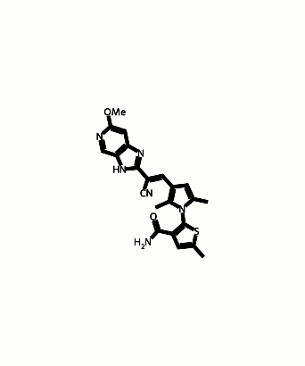 COc1cc2nc(C(C#N)=Cc3cc(C)n(-c4sc(C)cc4C(N)=O)c3C)[nH]c2cn1